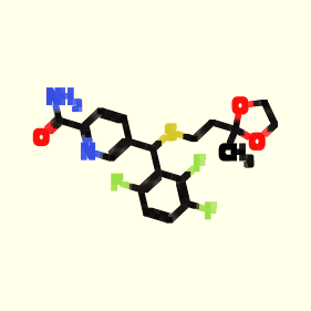 CC1(CCSC(c2ccc(C(N)=O)nc2)c2c(F)ccc(F)c2F)OCCO1